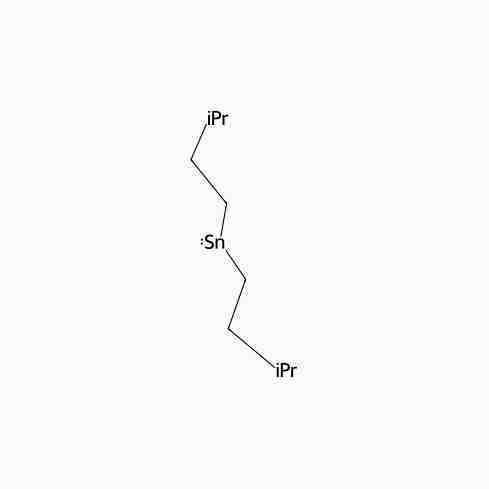 CC(C)C[CH2][Sn][CH2]CC(C)C